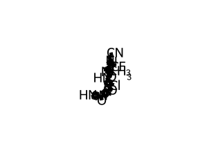 Cn1c(-c2cn(CCC#N)nc2C(F)(F)F)cnc1C(=O)Nc1ccc(C(=O)N2CCN(C(=O)C3CCNCC3)CC2)c(Cl)c1